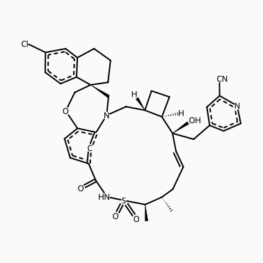 C[C@@H]1[C@@H](C)C/C=C/[C@@](O)(Cc2ccnc(C#N)c2)[C@@H]2CC[C@H]2CN2C[C@@]3(CCCc4cc(Cl)ccc43)COc3ccc(cc32)C(=O)NS1(=O)=O